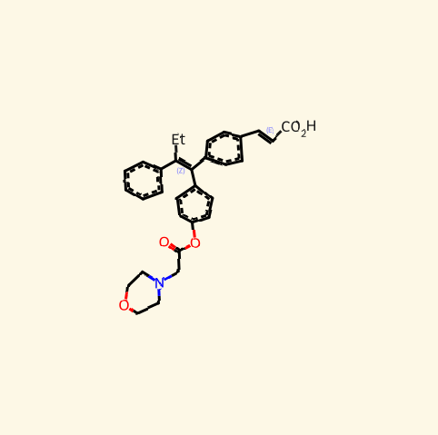 CC/C(=C(\c1ccc(/C=C/C(=O)O)cc1)c1ccc(OC(=O)CN2CCOCC2)cc1)c1ccccc1